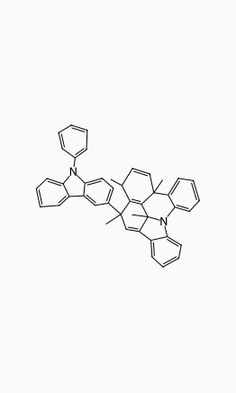 CC1C=CC2(C)C3=C1C(C)(c1ccc4c(c1)c1ccccc1n4-c1ccccc1)C=C1c4ccccc4N(c4ccccc42)C13C